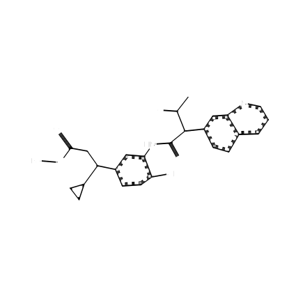 CC(C(C(=O)Nc1cc(C(CC(=O)OC(C)(C)C)C2CC2)ccc1Cl)c1ccc2cccnc2c1)C(F)(F)F